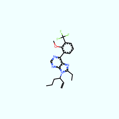 C=CC(CCC)n1c(CC)nc2c(-c3cccc(C(F)(F)F)c3OC)ncnc21